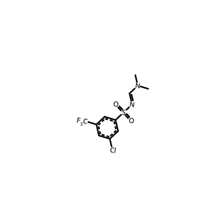 CN(C)C=NS(=O)(=O)c1cc(Cl)cc(C(F)(F)F)c1